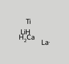 [CaH2].[La].[LiH].[Ti]